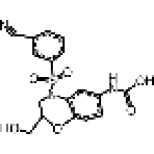 N#Cc1cccc(S(=O)(=O)N2CC(CO)Oc3ccc(NC(=O)O)cc32)c1